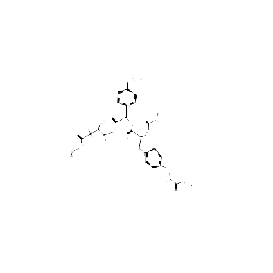 COc1ccc(C(NC(=O)C(Cc2ccc(OCC(=O)OC(C)(C)C)cc2)NC(=O)OC(C)(C)C)C(=O)NC(C(C)C)C(O)C(F)(F)C(=O)NCC(F)(F)F)cc1